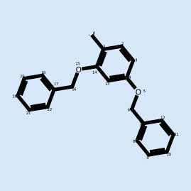 [CH2]c1ccc(OCc2ccccc2)cc1OCc1ccccc1